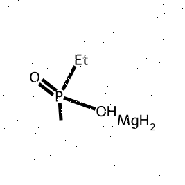 CCP(C)(=O)O.[MgH2]